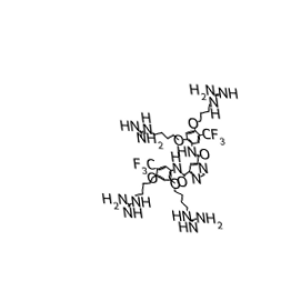 N=C(N)NCCCCOc1cc(OCCCCNC(=N)N)c(C(F)(F)F)cc1NC(=O)c1cc(C(=O)Nc2cc(C(F)(F)F)c(OCCCCNC(=N)N)cc2OCCCCNC(=N)N)ncn1